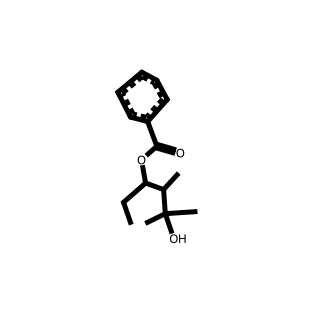 CCC(OC(=O)c1ccccc1)C(C)C(C)(C)O